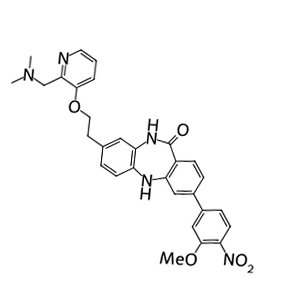 COc1cc(-c2ccc3c(c2)Nc2ccc(CCOc4cccnc4CN(C)C)cc2NC3=O)ccc1[N+](=O)[O-]